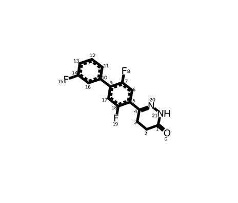 O=C1CCC(c2cc(F)c(-c3cccc(F)c3)cc2F)=NN1